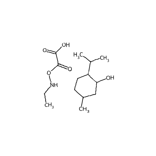 CC1CCC(C(C)C)C(O)C1.CCNOC(=O)C(=O)O